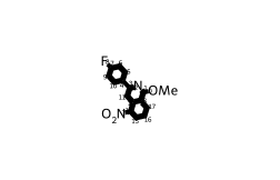 COc1nc(-c2ccc(F)cc2)cc2c([N+](=O)[O-])cccc12